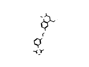 CN1c2ccc(OCNc3cccc(-n4c(S)nnc4S)c3)cc2C(CO)CC1C(=O)O